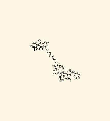 C=C(CCCOCCOCCNc1cccc2c1C(=O)N(C1CCC(=O)NC1=O)C2=O)C(=O)N1CCCC(n2nc(-c3ccc(Oc4ccccc4)cc3)c3c(N)ncnc32)C1